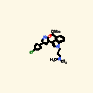 COC(=O)c1cccc2c1c(-c1cncc(-c3ccc(Cl)cc3)c1)cn2CCCN(C)C